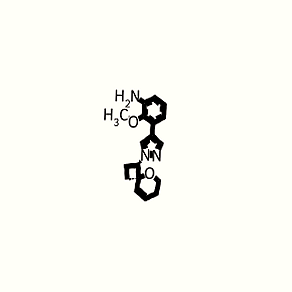 COc1c(N)cccc1-c1cnn([C@@H]2CC[C@]23C=CCCO3)c1